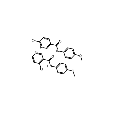 COc1ccc(NC(=O)c2ccc(Cl)nc2)cc1.COc1ccc(NC(=O)c2cnccc2Cl)cc1